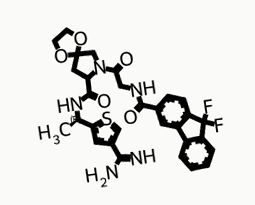 C[C@@H](NC(=O)C1CC2(CN1C(=O)CNC(=O)c1ccc3c(c1)-c1ccccc1C3(F)F)OCCO2)c1cc(C(=N)N)cs1